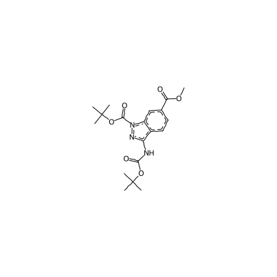 COC(=O)c1ccc2c(NC(=O)OC(C)(C)C)nn(C(=O)OC(C)(C)C)c2c1